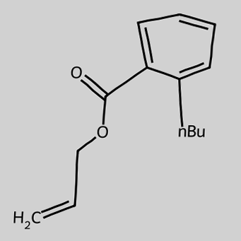 C=CCOC(=O)c1ccccc1CCCC